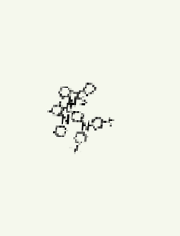 Cc1cc2c3c(c1)N(c1ccccc1)c1cc(N(c4ccc(C(C)(C)C)cc4)c4ccc(C(C)(C)C)cc4)ccc1B3n1c3sc4ccccc4c3c3cccc-2c31